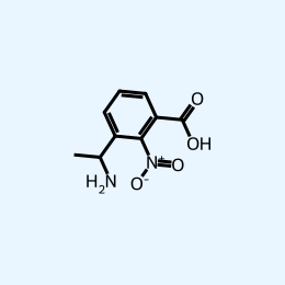 CC(N)c1cccc(C(=O)O)c1[N+](=O)[O-]